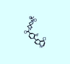 CS(=O)(=O)N1CC2(CN(C(=O)c3ccc(-c4ccc5nccc(Cl)c5c4)c(F)c3)C2)C1